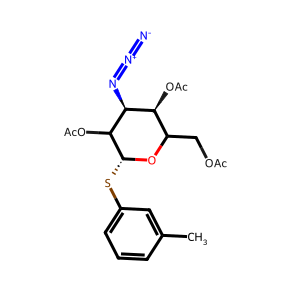 CC(=O)OCC1O[C@H](Sc2cccc(C)c2)C(OC(C)=O)[C@@H](N=[N+]=[N-])[C@H]1OC(C)=O